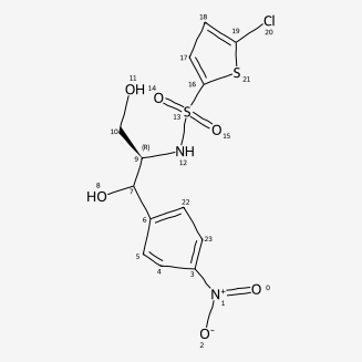 O=[N+]([O-])c1ccc(C(O)[C@@H](CO)NS(=O)(=O)c2ccc(Cl)s2)cc1